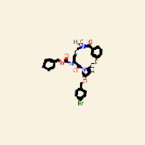 CN1CCC[C@H](NC(=O)OCc2ccccc2)C(=O)N2C[C@@H](OCc3ccc(Br)cc3)C[C@H]2CSc2cccc(c2)C1=O